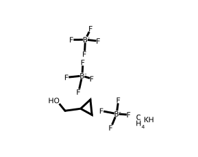 C.F[B-](F)(F)F.F[B-](F)(F)F.F[B-](F)(F)F.OCC1CC1.[KH]